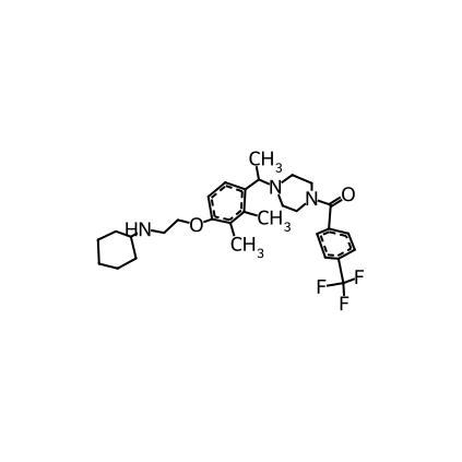 Cc1c(OCCNC2CCCCC2)ccc(C(C)N2CCN(C(=O)c3ccc(C(F)(F)F)cc3)CC2)c1C